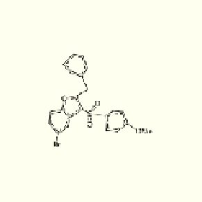 COc1ccc(S(=O)(=O)c2c(Cc3ccccc3)oc3ccc(Br)cc23)cc1